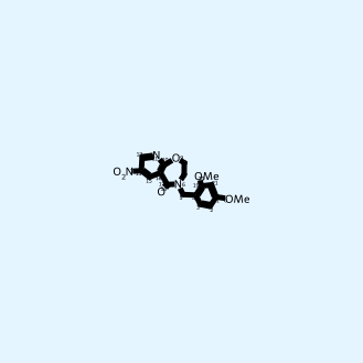 COc1ccc(CN2CCOc3ncc([N+](=O)[O-])cc3C2=O)c(OC)c1